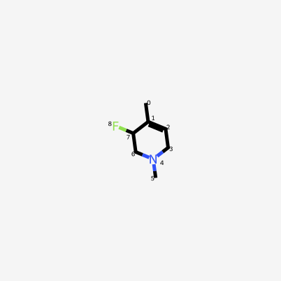 CC1=CCN(C)CC1F